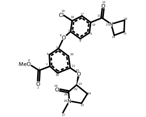 COC(=O)c1cc(Oc2ccc(C(=O)N3CCC3)cc2Cl)cc(O[C@H]2CCN(C)C2=O)c1